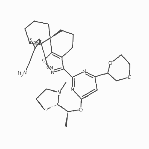 C[C@H](Oc1cc(C2COCCO2)nc(-c2noc3c2CCC[C@@]32CCCc3sc(N)c(C#N)c32)n1)[C@@H]1CCCN1C